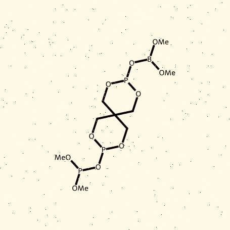 COB(OC)OP1OCC2(CO1)COP(OP(OC)OC)OC2